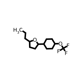 CCCC1CCC(C2CCC(OC(F)(F)F)CC2)O1